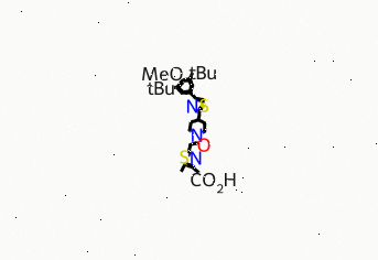 COc1c(C(C)(C)C)cc(-c2csc(C3CCN(C(=O)Cc4nc(CC(=O)O)c(C)s4)CC3)n2)cc1C(C)(C)C